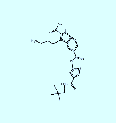 CC(C)(C)CNC(=O)c1csc(NC(=O)c2ccc3[nH]c(C(=O)O)c(CCCN)c3c2)n1